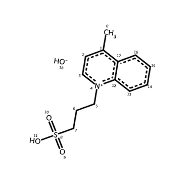 Cc1cc[n+](CCCS(=O)(=O)O)c2ccccc12.[OH-]